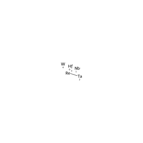 [Hf].[Nb].[Ta][Re].[W]